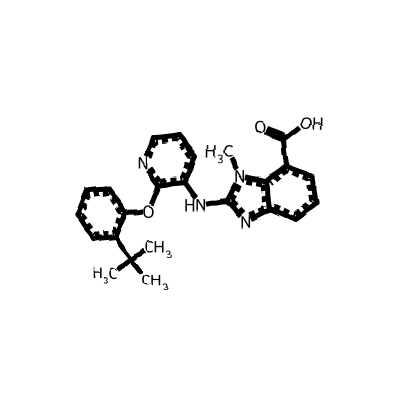 Cn1c(Nc2cccnc2Oc2ccccc2C(C)(C)C)nc2cccc(C(=O)O)c21